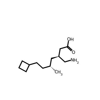 C[C@H](CCC1CCC1)C[C@H](CN)CC(=O)O